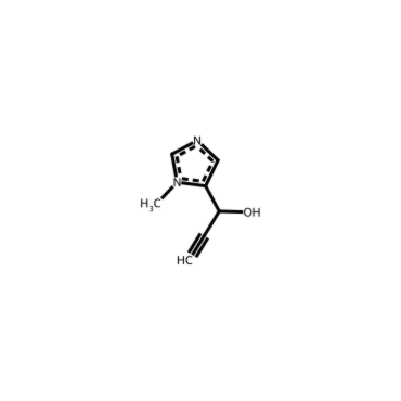 C#CC(O)c1cncn1C